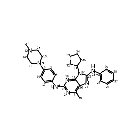 Cc1nc(Nc2ccc(N3CCN(C)CC3)cc2)nc2c1nc(Nc1ccccc1)n2C1CCCC1